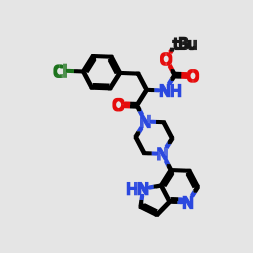 CC(C)(C)OC(=O)NC(Cc1ccc(Cl)cc1)C(=O)N1CCN(c2ccnc3cc[nH]c23)CC1